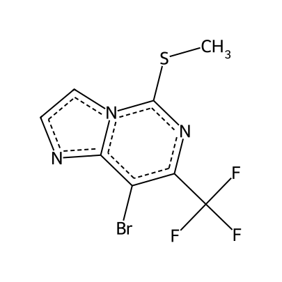 CSc1nc(C(F)(F)F)c(Br)c2nccn12